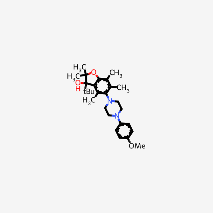 COc1ccc(N2CCN(c3c(C)c(C)c4c(c3C)C(O)(C(C)(C)C)C(C)(C)O4)CC2)cc1